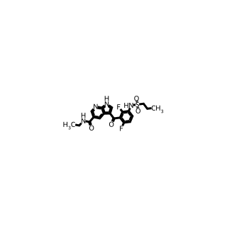 CCCS(=O)(=O)Nc1ccc(F)c(C(=O)c2c[nH]c3ncc(C(=O)NCC)cc23)c1F